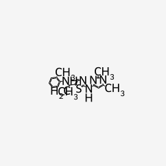 C=C(Nc1c(C)cccc1C)c1cnc(Nc2cc(C)nc(C)n2)s1